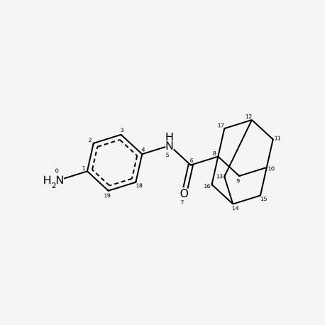 Nc1ccc(NC(=O)C23CC4CC(CC(C4)C2)C3)cc1